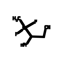 CCCC(CC#N)[Si](C)(F)F